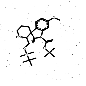 COc1ccc2c(c1)N(C(=O)OC(C)(C)C)C(=O)C21CCCNC1CO[Si](C)(C)C(C)(C)C